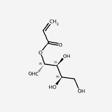 C=CC(=O)O[C@@H](C=O)[C@@H](O)[C@H](O)CO